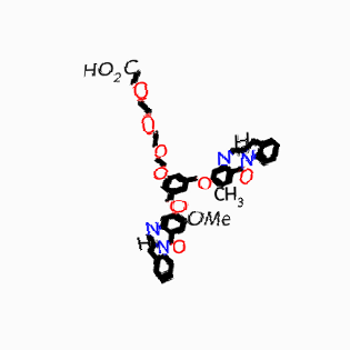 COc1cc2c(cc1OCc1cc(COc3cc4c(cc3C)C(=O)N3c5ccccc5C[C@H]3C=N4)cc(OCCOCCOCCOCCC(=O)O)c1)N=C[C@@H]1Cc3ccccc3N1C2=O